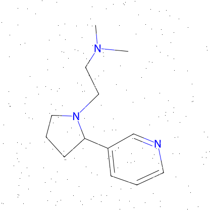 CN(C)CCN1CCCC1c1cccnc1